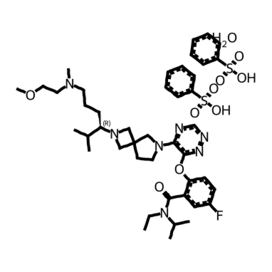 CCN(C(=O)c1cc(F)ccc1Oc1nncnc1N1CCC2(C1)CN([C@H](CCCN(C)CCOC)C(C)C)C2)C(C)C.O.O=S(=O)(O)c1ccccc1.O=S(=O)(O)c1ccccc1